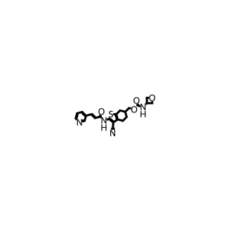 N#Cc1c(NC(=O)C=Cc2cccnc2)sc2c1CCC(COC(=O)NC1COC1)C2